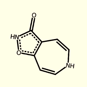 O=c1[nH]oc2c1C=CNC=C2